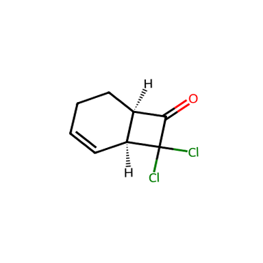 O=C1[C@@H]2CCC=C[C@@H]2C1(Cl)Cl